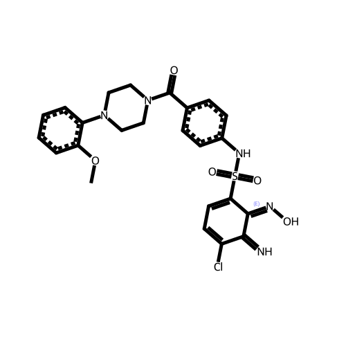 COc1ccccc1N1CCN(C(=O)c2ccc(NS(=O)(=O)C3=CC=C(Cl)C(=N)/C3=N\O)cc2)CC1